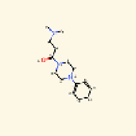 CN(C)CCC(=O)N1CCN(C2=CC[CH]C=C2)CC1